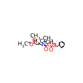 CCOC(CCCN(C(=O)OC(=O)OCc1ccccc1)C(C)(C)C)OCC